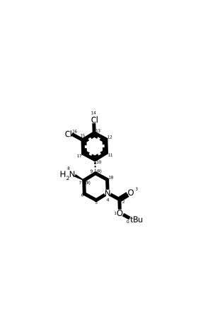 CC(C)(C)OC(=O)N1CC[C@@H](N)[C@H](c2ccc(Cl)c(Cl)c2)C1